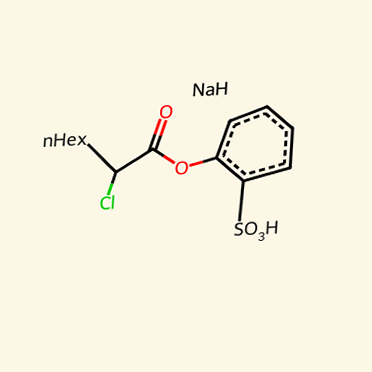 CCCCCCC(Cl)C(=O)Oc1ccccc1S(=O)(=O)O.[NaH]